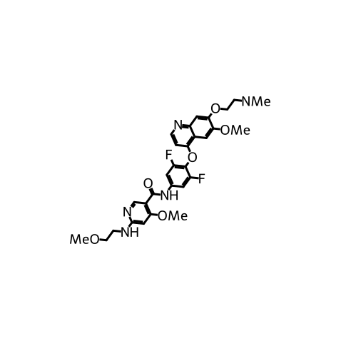 CNCCOc1cc2nccc(Oc3c(F)cc(NC(=O)c4cnc(NCCOC)cc4OC)cc3F)c2cc1OC